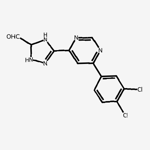 O=CC1NN=C(c2cc(-c3ccc(Cl)c(Cl)c3)ncn2)N1